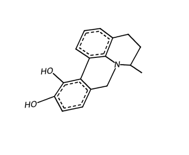 CC1CCc2cccc3c2N1Cc1ccc(O)c(O)c1-3